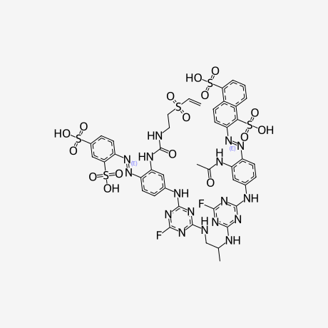 C=CS(=O)(=O)CCNC(=O)Nc1cc(Nc2nc(F)nc(NCC(C)Nc3nc(F)nc(Nc4ccc(/N=N/c5ccc6c(S(=O)(=O)O)cccc6c5S(=O)(=O)O)c(NC(C)=O)c4)n3)n2)ccc1/N=N/c1ccc(S(=O)(=O)O)cc1S(=O)(=O)O